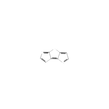 C1=CC2=C3N=CC=C3[SiH2]C2=N1